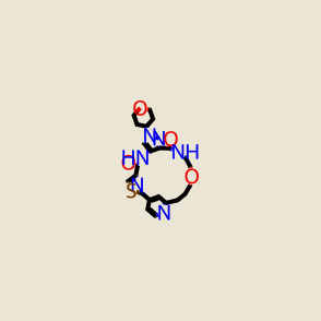 O=C1Nc2cn(C3CCOCC3)nc2C(=O)NCCOCCCc2cc(ccn2)-c2nc1cs2